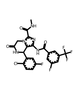 CNC(=O)c1nc(NC(=O)c2cc(F)cc(C(F)(F)F)c2)c2n1CC(=O)NC2c1cc(F)ccc1Cl